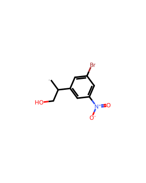 [CH2]C(CO)c1cc(Br)cc([N+](=O)[O-])c1